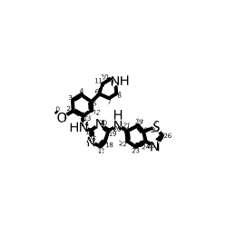 COc1ccc(C2CCNCC2)cc1Nc1nccc(Nc2ccc3ncsc3c2)n1